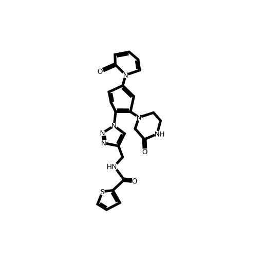 O=C1CN(c2cc(-n3ccccc3=O)ccc2-n2cc(CNC(=O)c3cccs3)nn2)CCN1